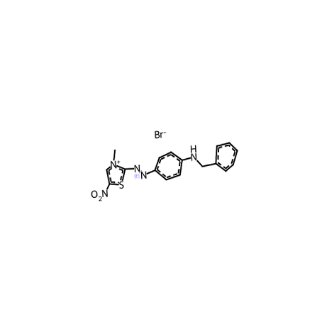 C[n+]1cc([N+](=O)[O-])sc1/N=N/c1ccc(NCc2ccccc2)cc1.[Br-]